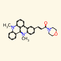 CN1c2ccccc2-c2c3c1cccc3c1cc(/C=C/C(=O)N3CCOCC3)ccc1[n+]2C